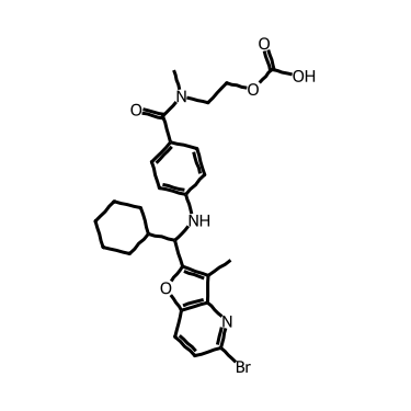 Cc1c(C(Nc2ccc(C(=O)N(C)CCOC(=O)O)cc2)C2CCCCC2)oc2ccc(Br)nc12